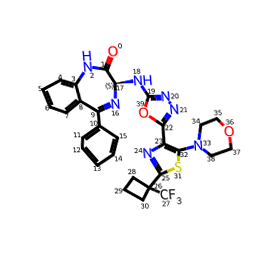 O=C1Nc2ccccc2C(c2ccccc2)=N[C@@H]1Nc1nnc(-c2nc(C3(C(F)(F)F)CCC3)sc2N2CCOCC2)o1